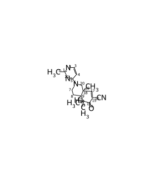 Cc1nccc(N2CC[C@H]3C(C)(C)C(=O)C(C#N)=C[C@@]3(C)C2)n1